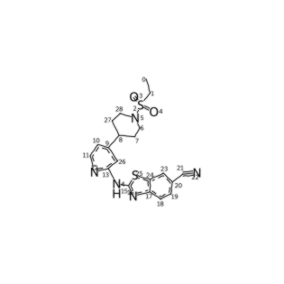 CCS(=O)(=O)N1CCC(c2ccnc(Nc3nc4ccc(C#N)cc4s3)c2)CC1